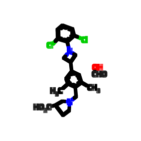 Cc1cc(C2CN(c3c(Cl)cccc3Cl)C2)cc(C)c1CN1CCC(C(=O)O)C1.O=CO